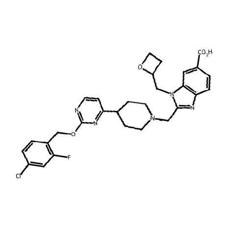 O=C(O)c1ccc2nc(CN3CCC(c4ccnc(OCc5ccc(Cl)cc5F)n4)CC3)n(CC3CCO3)c2c1